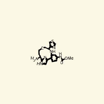 COC(=O)Nc1ccc2c(c1)NC(c1cscn1)CCCCC(N)c1nc-2c[nH]1